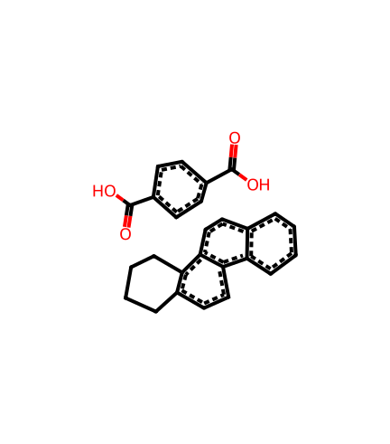 O=C(O)c1ccc(C(=O)O)cc1.c1ccc2c(c1)ccc1c3c(ccc12)CCCC3